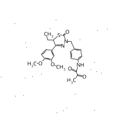 CCC1SC(=O)N(Cc2ccc(NC(=O)C(C)=O)cc2)N=C1c1ccc(OC)c(OC)c1